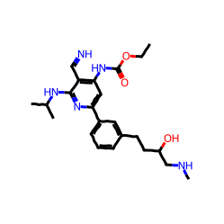 CCOC(=O)Nc1cc(-c2cccc(CCC(O)CNC)c2)nc(NC(C)C)c1C=N